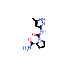 Cc1cc(NC(=O)N2CCC[C@H]2C(N)=O)n[nH]1